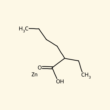 CCCCC(CC)C(=O)O.[Zn]